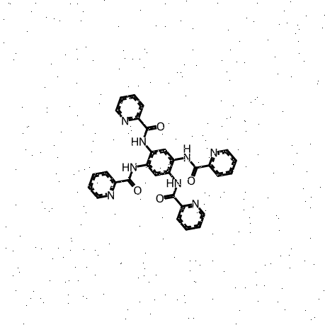 O=C(Nc1cc(NC(=O)c2ccccn2)c(NC(=O)c2ccccn2)cc1NC(=O)c1ccccn1)c1ccccn1